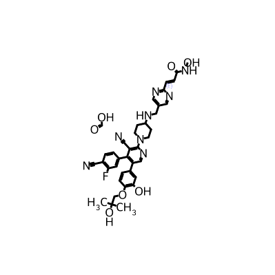 CC(C)(O)COc1ccc(-c2cnc(N3CCC(NCc4cnc(/C=C/C(=O)NO)nc4)CC3)c(C#N)c2-c2ccc(C#N)c(F)c2)cc1O.O=CO